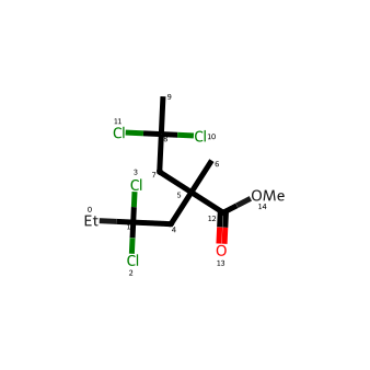 CCC(Cl)(Cl)CC(C)(CC(C)(Cl)Cl)C(=O)OC